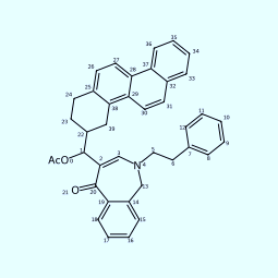 CC(=O)OC(C1=CN(CCc2ccccc2)Cc2ccccc2C1=O)C1CCc2ccc3c(ccc4ccccc43)c2C1